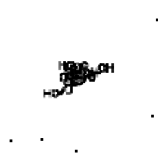 O=P(O)(O)OP(=O)(O)OP(=O)(O)O.OCCOCCOCCOCCO